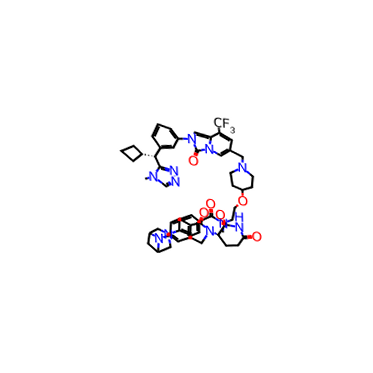 CN(CCOC1CCN(Cc2cc(C(F)(F)F)c3cn(-c4cccc([C@H](c5nncn5C)C5CCC5)c4)c(=O)n3c2)CC1)C(=O)c1ccc(N2CC3CC(C2)N3c2ccc3c(c2)CN([C@@H]2CCC(=O)NC2=O)C3=O)cc1